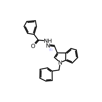 O=C(N/N=C/c1cn(Cc2ccccc2)c2ccccc12)c1ccccc1